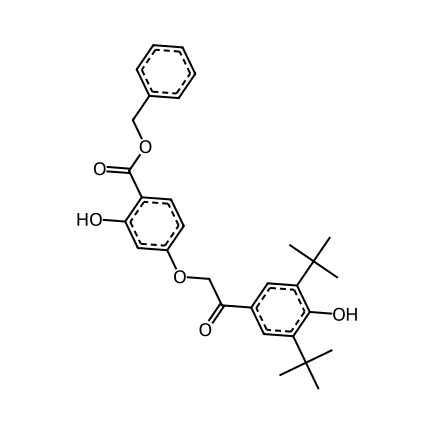 CC(C)(C)c1cc(C(=O)COc2ccc(C(=O)OCc3ccccc3)c(O)c2)cc(C(C)(C)C)c1O